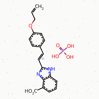 C=CCOc1ccc(/C=C/c2nc3c(C(=O)O)cccc3[nH]2)cc1.O=P(O)(O)O